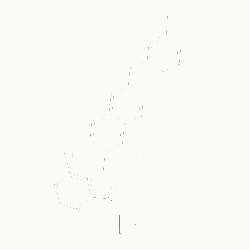 Cc1cc(F)cc(Cc2cc3ccc(-c4cn(C5CC5)c5ncnc(N)c45)c(F)c3cn2)c1